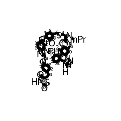 CCCc1nc(CSCc2ccc(Oc3ccc4nc(COc5ccc(CC6SC(=O)NC6=O)cc5)n(C)c4c3)cc2)c(C(=O)OCC)n1Cc1ccc(-c2ccccc2-c2nnn[nH]2)cc1